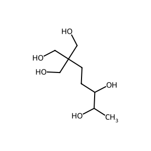 CC(O)C(O)CCC(CO)(CO)CO